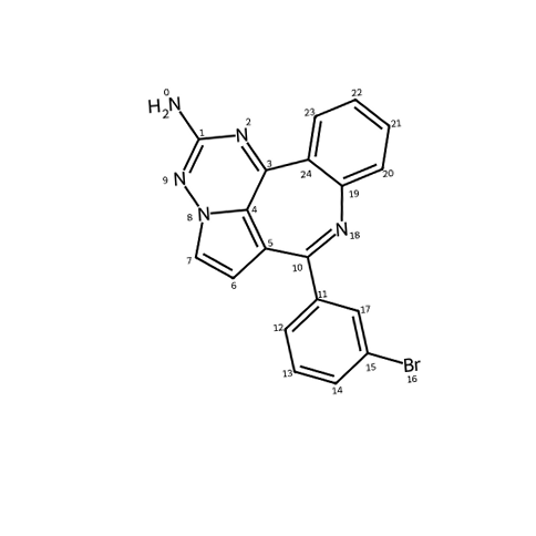 Nc1nc2c3c(ccn3n1)C(c1cccc(Br)c1)=Nc1ccccc1-2